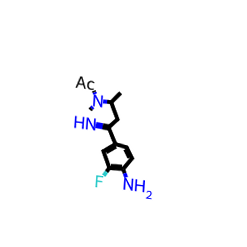 CC(=O)N(C)C(C)CC(=N)c1ccc(N)c(F)c1